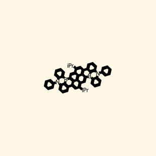 CC(C)c1cc2c3c(cc4c(C(C)C)cc5c6c(cc1c3c46)B1c3ccccc3N(c3ccccc3)c3cccc-5c31)B1c3ccccc3N(c3ccccc3)c3cccc-2c31